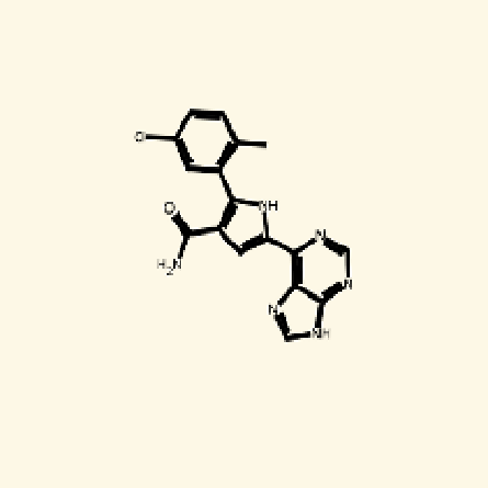 Cc1ccc(Cl)cc1-c1[nH]c(-c2ncnc3[nH]cnc23)cc1C(N)=O